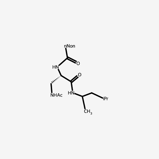 CCCCCCCCCC(=O)N[C@@H](CNC(C)=O)C(=O)NC(C)CC(C)C